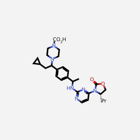 CC(Nc1nccc(N2C(=O)OC[C@@H]2C(C)C)n1)c1ccc(C(CC2CC2)N2CCN(C(=O)O)CC2)cc1